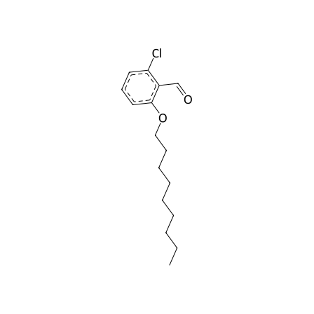 CCCCCCCCCOc1cccc(Cl)c1C=O